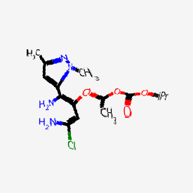 Cc1cc(/C(N)=C(/C=C(\N)Cl)OC(C)OC(=O)OC(C)C)n(C)n1